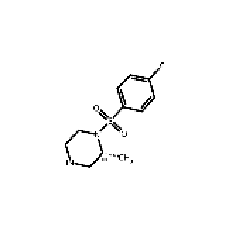 C[C@@H]1CNCCN1S(=O)(=O)c1ccc(Cl)cc1